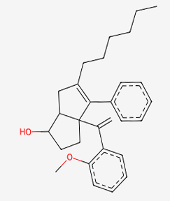 C=C(c1ccccc1OC)C12CCC(O)C1CC(CCCCCC)=C2c1ccccc1